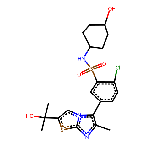 Cc1nc2sc(C(C)(C)O)cn2c1-c1ccc(Cl)c(S(=O)(=O)NC2CCC(O)CC2)c1